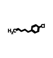 C=CCCCc1ccc(Cl)cc1